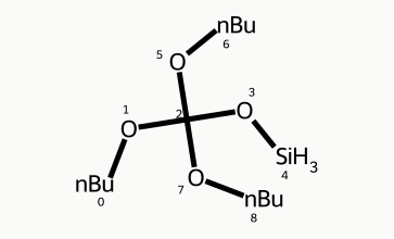 CCCCOC(O[SiH3])(OCCCC)OCCCC